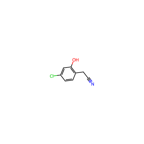 N#CCc1ccc(Cl)cc1O